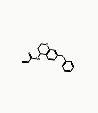 C=CC(=O)NC1CCOc2cc(Oc3ccccc3)ccc21